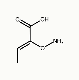 CC=C(ON)C(=O)O